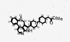 COC(=O)CC1CCC(N2CC=C(c3[nH]c4nccc5c4c3CN(C)c3ccccc3-5)CC2)CC1